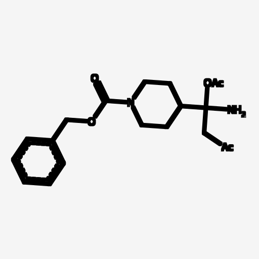 CC(=O)CC(N)(OC(C)=O)C1CCN(C(=O)OCc2ccccc2)CC1